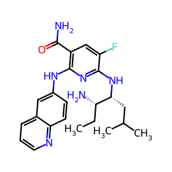 CC[C@H](N)[C@@H](CC(C)C)Nc1nc(Nc2ccc3ncccc3c2)c(C(N)=O)cc1F